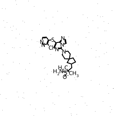 CC(C)(CC1CCC2(CCN(c3ncc(Sc4ccnnc4Cl)c4nccn34)CC2)C1)[S@+](N)[O-]